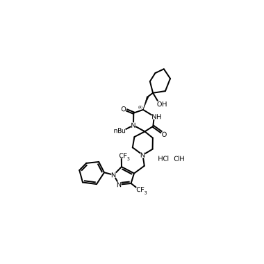 CCCCN1C(=O)[C@@H](CC2(O)CCCCC2)NC(=O)C12CCN(Cc1c(C(F)(F)F)nn(-c3ccccc3)c1C(F)(F)F)CC2.Cl.Cl